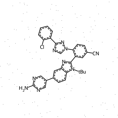 CC(C)(C)n1c(-c2cc(C#N)ccc2-n2cnc(-c3ccccc3Cl)n2)nc2cc(-c3cnc(N)nc3)ccc21